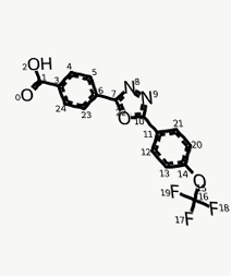 O=C(O)c1ccc(-c2nnc(-c3ccc(OC(F)(F)F)cc3)o2)cc1